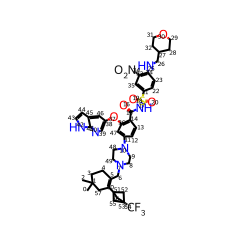 CC1(C)CCC(CN2CCN(c3ccc(C(=O)NS(=O)(=O)c4ccc(NCC5CCOCC5)c([N+](=O)[O-])c4)c(Oc4cnc5[nH]ccc5c4)c3)CC2)=C(C23CC(C(F)(F)F)(C2)C3)C1